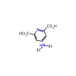 CCNCC.O=C(O)c1cccc(C(=O)O)n1